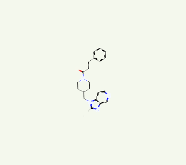 Cc1nc2cnccc2n1CC1CCN(C(=O)CCc2ccccc2)CC1